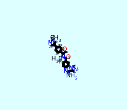 CN(C(=O)c1cc2c(cc1F)nc(N)c1cncn12)[C@@H]1COc2cc(-c3cnn(C)c3)ccc21